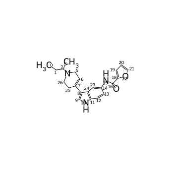 CCC(C)N1CC=C(c2c[nH]c3ccc(NC(=O)c4ccco4)cc23)CC1